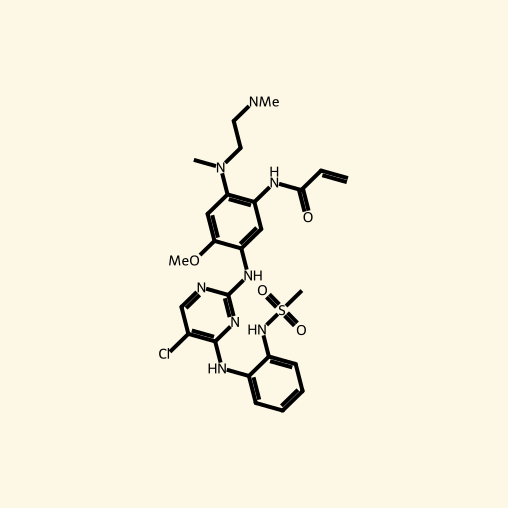 C=CC(=O)Nc1cc(Nc2ncc(Cl)c(Nc3ccccc3NS(C)(=O)=O)n2)c(OC)cc1N(C)CCNC